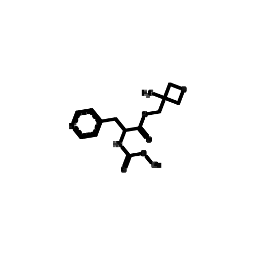 CC1(COC(=O)C(Cc2ccncc2)NC(=O)OC(C)(C)C)COC1